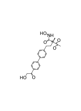 C[C@@](CCc1ccc(-c2ccc(C(=O)CO)cc2)cc1)(C(=O)NO)S(C)(=O)=O